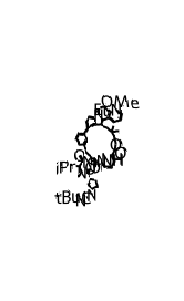 CCn1c(-c2cccnc2[C@H](C)OC)c2c3cc(ccc31)-c1cccc(c1)C[C@H](NC(=O)C(C(C)C)N(C)C(=O)[C@H]1CC[C@H](N=C=NC(C)(C)C)C1)C(=O)N1CCC[C@H](N1)C(=O)OCC(C)(C)C2